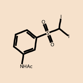 CC(=O)Nc1cccc(S(=O)(=O)C(I)I)c1